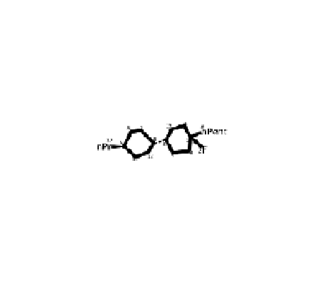 CCCCCC1(F)CCC([C@H]2CC[C@H](CCC)CC2)CC1